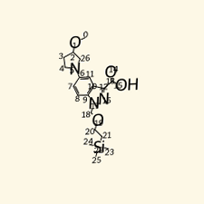 COC1CCN(c2ccc3c(c2)c(C(=O)O)nn3COCC[Si](C)(C)C)C1